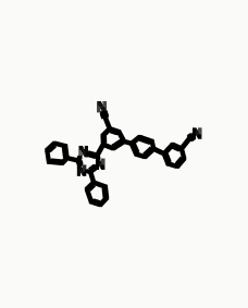 N#Cc1cccc(-c2ccc(-c3cc(C#N)cc(-c4nc(-c5ccccc5)nc(-c5ccccc5)n4)c3)cc2)c1